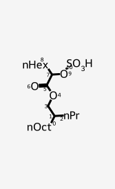 CCCCCCCCC(CCC)COC(=O)C(CCCCCC)OS(=O)(=O)O